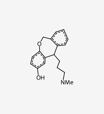 CNCCCC1c2ccccc2COc2ccc(O)cc21